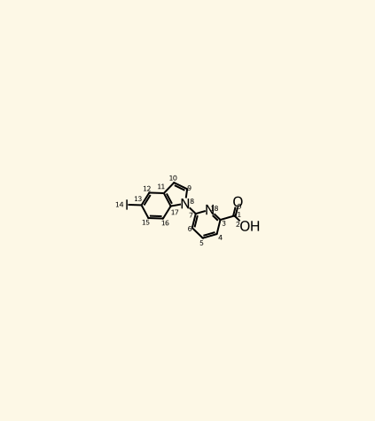 O=C(O)c1cccc(-n2ccc3cc(I)ccc32)n1